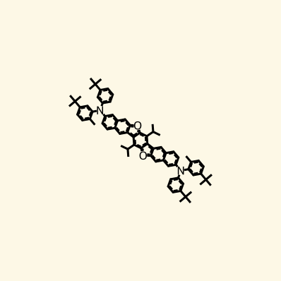 Cc1ccc(C(C)(C)C)cc1N(c1cccc(C(C)(C)C)c1)c1ccc2cc3c(cc2c1)oc1c(C(C)C)c2c(oc4cc5cc(N(c6cccc(C(C)(C)C)c6)c6cc(C(C)(C)C)ccc6C)ccc5cc42)c(C(C)C)c13